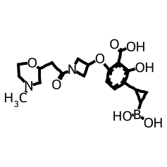 CN1CCOC(CC(=O)N2CC(Oc3ccc(C4CC4B(O)O)c(O)c3C(=O)O)C2)C1